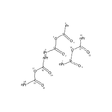 CC(C)C(=O)OC(=O)C(C)C.CCCC(=O)OC(=O)CCC.CCCC(=O)OC(=O)CCC